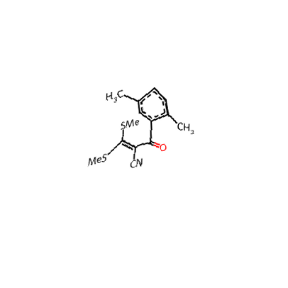 CSC(SC)=C(C#N)C(=O)c1cc(C)ccc1C